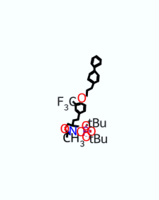 CC1=NC(CCc2ccc(OCCCc3ccc(-c4ccccc4)cc3)c(C(F)(F)F)c2)(COP(=O)(OC(C)(C)C)OC(C)(C)C)CO1